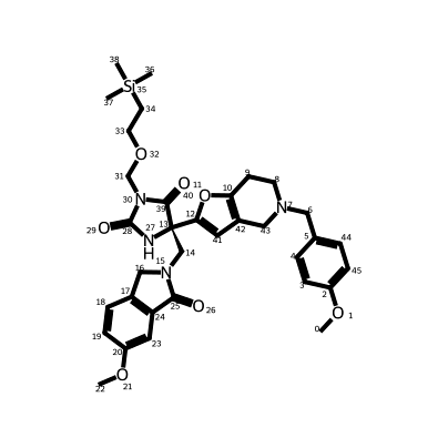 COc1ccc(CN2CCc3oc([C@]4(CN5Cc6ccc(OC)cc6C5=O)NC(=O)N(COCC[Si](C)(C)C)C4=O)cc3C2)cc1